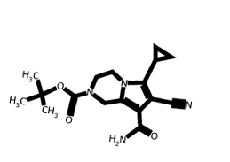 CC(C)(C)OC(=O)N1CCn2c(c(C(N)=O)c(C#N)c2C2CC2)C1